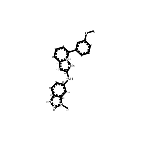 COc1cccc(-c2cccc3nc(Nc4ccc5nnn(C)c5c4)nn23)c1